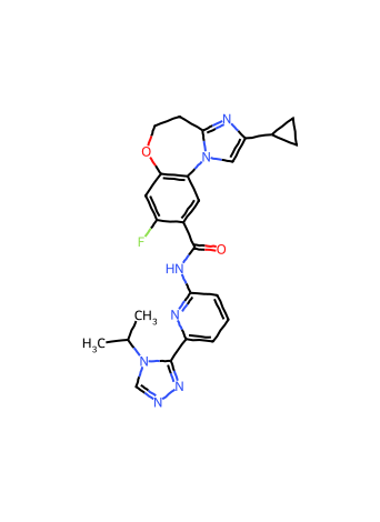 CC(C)n1cnnc1-c1cccc(NC(=O)c2cc3c(cc2F)OCCc2nc(C4CC4)cn2-3)n1